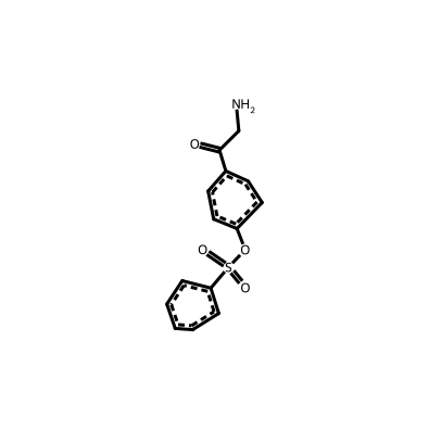 NCC(=O)c1ccc(OS(=O)(=O)c2ccccc2)cc1